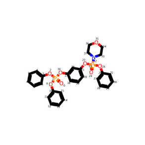 O=P(Oc1ccccc1)(Oc1ccccc1)Oc1cccc(OP(=O)(Oc2ccccc2)N2CCOCC2)c1